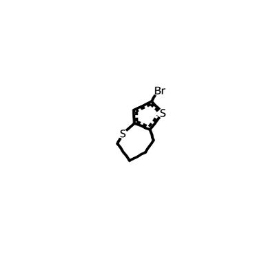 Brc1cc2c(s1)CCCCS2